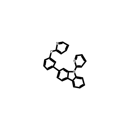 c1ccc(Oc2cccc(-c3ccc4c5ccccc5n(-c5ccccn5)c4c3)c2)nc1